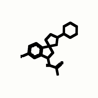 CC(=O)NC1CC2(CCN(C3CCCCC3)C2)c2ccc(F)cc21